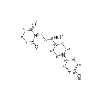 Cl.O=C1CCCC(=O)N1CCCN1CCN(c2ccc(Cl)cc2)CC1